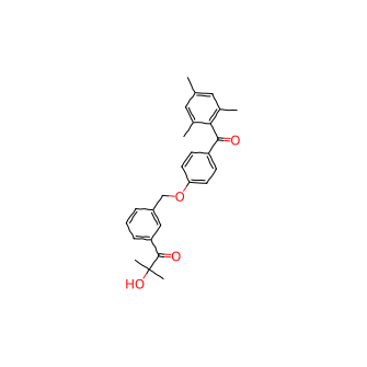 Cc1cc(C)c(C(=O)c2ccc(OCc3cccc(C(=O)C(C)(C)O)c3)cc2)c(C)c1